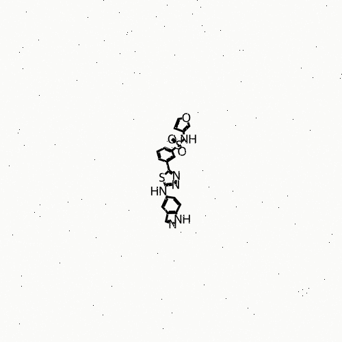 O=S(=O)(Nc1ccoc1)c1cccc(-c2nnc(Nc3ccc4[nH]ncc4c3)s2)c1